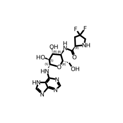 O=C(N[C@@H]1[C@@H](O)[C@H](O)[C@@H](Nc2ncnc3nc[nH]c23)O[C@H]1CO)[C@H]1CC(F)(F)CN1